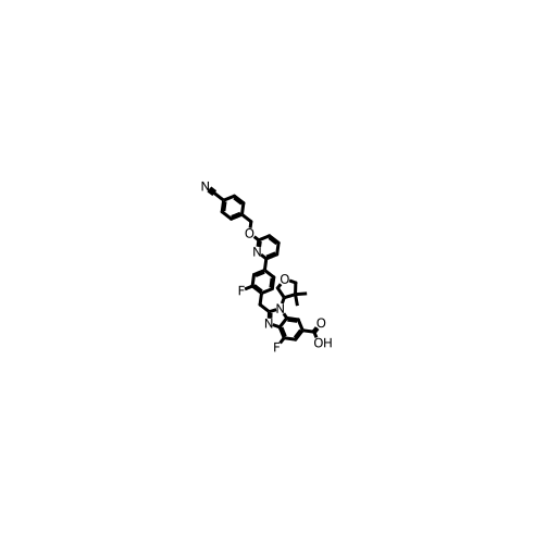 CC1(C)COCC1n1c(Cc2ccc(-c3cccc(OCc4ccc(C#N)cc4)n3)cc2F)nc2c(F)cc(C(=O)O)cc21